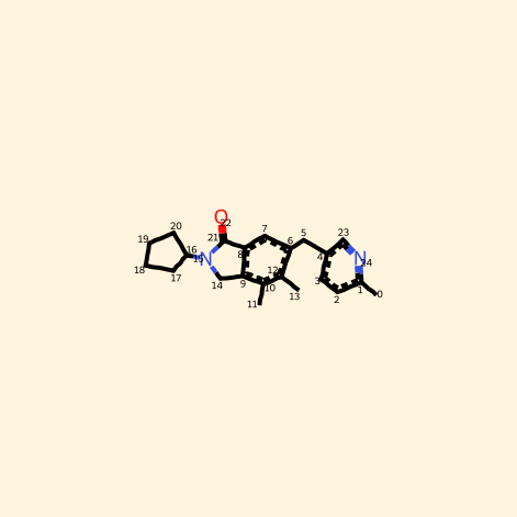 Cc1ccc(Cc2cc3c(c(C)c2C)CN(C2CCCC2)C3=O)cn1